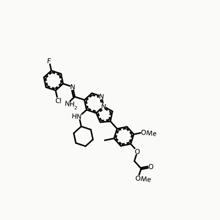 COC(=O)COc1cc(C)c(-c2cc3c(NC4CCCCC4)c(/C(N)=N/c4cc(F)ccc4Cl)cnn3c2)cc1OC